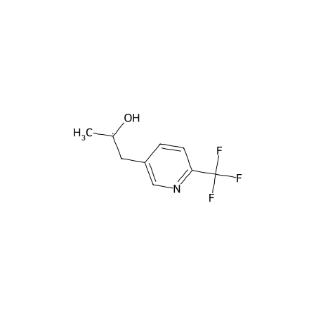 C[C](O)Cc1ccc(C(F)(F)F)nc1